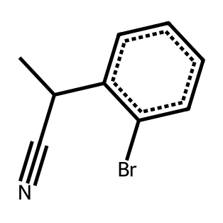 CC(C#N)c1ccccc1Br